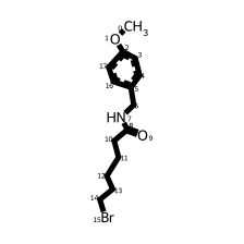 COc1ccc(CNC(=O)CCCCCBr)cc1